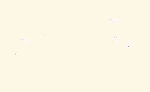 C/C(=N/OCCOc1ccc(CC2SC(=O)NC2=O)cc1)c1cn(C)c(-c2ccccc2)n1